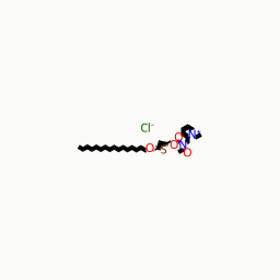 CCCCCCCCCCCCCCCCOC[C@@H]1C[C@@H](COC(=O)N(Cc2cccc[n+]2CC)C(C)=O)S1.[Cl-]